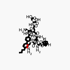 CCCCc1ccc(-c2ccc(C(=O)N[C@@H](CN)C(=O)N[C@@H](CCC(=O)N[C@H](CC(=O)O)C(=O)O)C(=O)N[C@@H](N)C(=O)N[C@@H](CCCCN)C(=O)N[C@@H](N)B3OC4C[C@@H]5C[C@@H](C5(C)C)[C@]4(C)O3)cc2)cc1